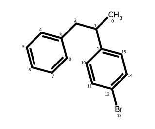 CC(Cc1ccccc1)c1ccc(Br)cc1